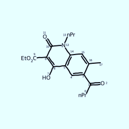 CCCC(=O)c1cc2c(O)c(C(=O)OCC)c(=O)n(CCC)c2cc1C